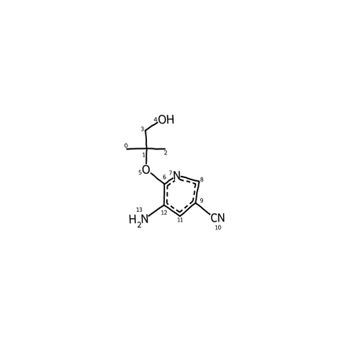 CC(C)(CO)Oc1ncc(C#N)cc1N